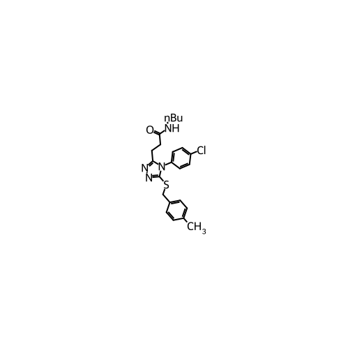 CCCCNC(=O)CCc1nnc(SCc2ccc(C)cc2)n1-c1ccc(Cl)cc1